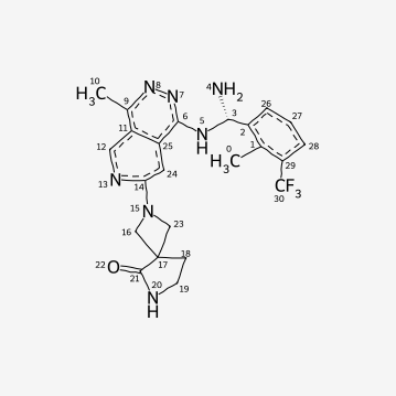 Cc1c([C@@H](N)Nc2nnc(C)c3cnc(N4CC5(CCNC5=O)C4)cc23)cccc1C(F)(F)F